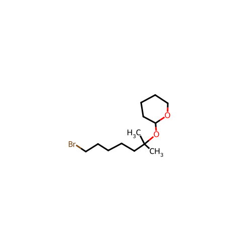 CC(C)(CCCCCBr)OC1CCCCO1